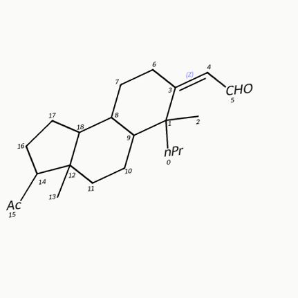 CCCC1(C)/C(=C\C=O)CCC2C1CCC1(C)C(C(C)=O)CCC21